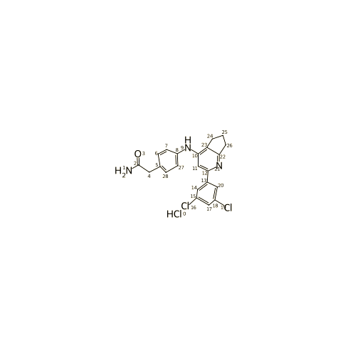 Cl.NC(=O)Cc1ccc(Nc2cc(-c3cc(Cl)cc(Cl)c3)nc3c2CCC3)cc1